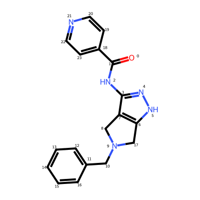 O=C(Nc1n[nH]c2c1CN(Cc1ccccc1)C2)c1ccncc1